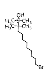 CC(C)(CCCCCCCCCBr)[Si](C)(C)O